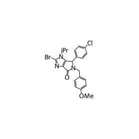 COc1ccc(CN2C(=O)c3nc(Br)n(C(C)C)c3C2c2ccc(Cl)cc2)cc1